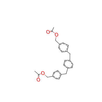 CC(=O)OCc1ccc(Cc2ccc(Cc3ccc(COC(C)=O)cc3)cc2)cc1